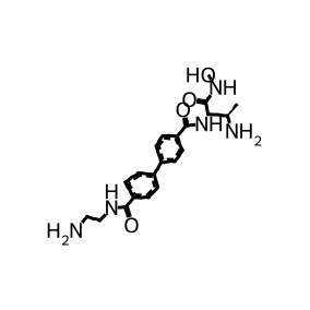 C[C@@H](N)[C@H](NC(=O)c1ccc(-c2ccc(C(=O)NCCN)cc2)cc1)C(=O)NO